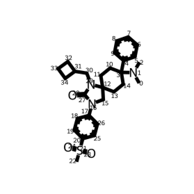 CN(C)C1(c2ccccc2)CCC2(CC1)CN(c1ccc(S(C)(=O)=O)cc1)C(=O)N2CC1CCC1